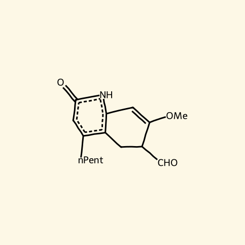 CCCCCc1cc(=O)[nH]c2c1CC(C=O)C(OC)=C2